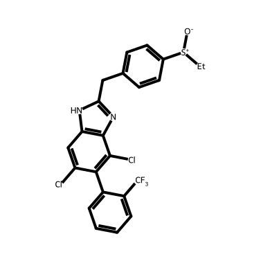 CC[S+]([O-])c1ccc(Cc2nc3c(Cl)c(-c4ccccc4C(F)(F)F)c(Cl)cc3[nH]2)cc1